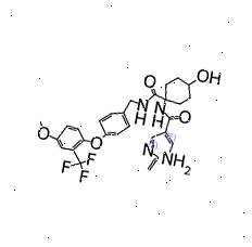 C=C/N=C\C(=C/N)C(=O)NC1(C(=O)NCc2ccc(Oc3ccc(OC)cc3C(F)(F)F)cc2)CCC(O)CC1